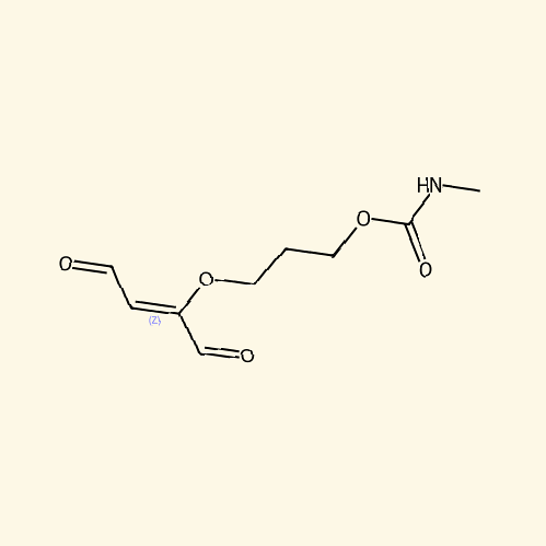 CNC(=O)OCCCO/C(C=O)=C\C=O